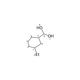 CCC1CCCC(C(O)O)C1